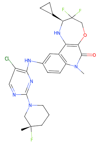 Cn1c(=O)c2c(c3cc(Nc4nc(N5CCC[C@](C)(F)C5)ncc4Cl)ccc31)N[C@@H](C1CC1)C(F)(F)CO2